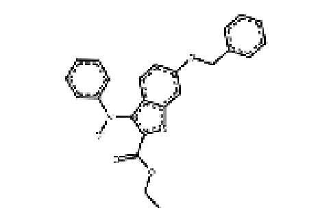 CCOC(=O)c1sc2cc(OCc3ccccc3)ccc2c1[S+]([O-])c1ccccc1